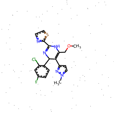 COCC1=C(c2ccn(C)n2)C(c2ccc(F)cc2Cl)N=C(c2nccs2)N1